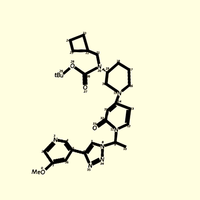 COc1cncc(-c2cn(C(C)n3ccc(N4CCC[C@@H](N(CC5CCC5)C(=O)OC(C)(C)C)C4)cc3=O)nn2)c1